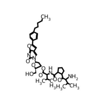 CCCCCc1ccc(-c2cc3cn([C@H]4CC(OC(=O)C(NC(=O)C5CCCC5C(=O)C(N)C(C)C)C(C)C)[C@@H](CO)O4)c(=O)nc3o2)cc1